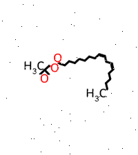 CCCCC/C=C\C/C=C\CCCCCCCC(=O)OCC1(C)COC1